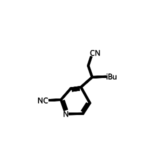 CCC(C)C(CC#N)c1ccnc(C#N)c1